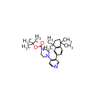 CC(C)(C)OC(=O)N1CCN(c2ccncc2-c2ccc3c(c2)C(C)(C)CCC3(C)C)CC1